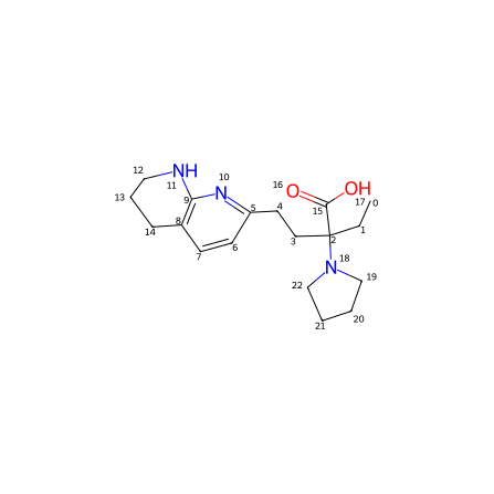 CCC(CCc1ccc2c(n1)NCCC2)(C(=O)O)N1CCCC1